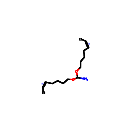 CC/C=C\CCCCOC(N)OCCCC/C=C\CC